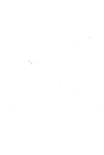 Nc1ccc(Cl)cc1C(c1ccccc1)c1ccccc1